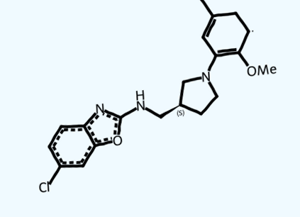 COC1=C(N2CC[C@@H](CNc3nc4ccc(Cl)cc4o3)C2)C=C(C)C[CH]1